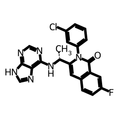 C[C@@H](Nc1ncnc2[nH]cnc12)c1cc2ccc(F)cc2c(=O)n1-c1cccc(Cl)c1